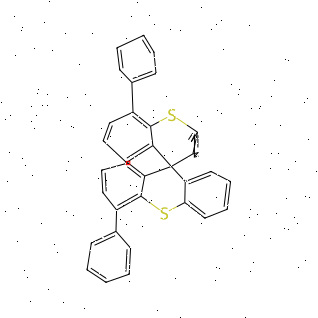 c1ccc(-c2cccc3c2Sc2ccccc2C32c3ccccc3Sc3c(-c4ccccc4)cccc32)cc1